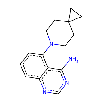 Nc1ncnc2cccc(N3CCC4(CC3)CC4)c12